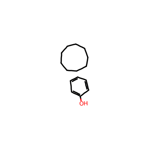 C1CCCCCCCC1.Oc1ccccc1